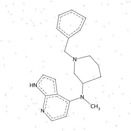 CN(c1ccnc2[nH]ccc12)C1CCCN(Cc2ccccc2)C1